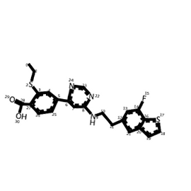 CCSc1cc(-c2cc(NCCc3cc(F)c4sccc4c3)ncn2)ccc1C(=O)O